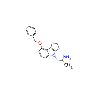 CC(N)Cn1c2c(c3c(OCc4ccccc4)cccc31)CCC2